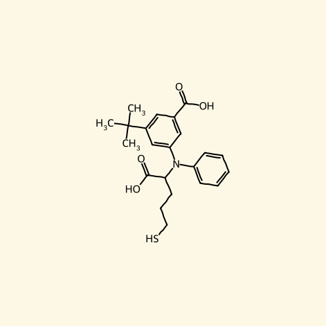 CC(C)(C)c1cc(C(=O)O)cc(N(c2ccccc2)C(CCCS)C(=O)O)c1